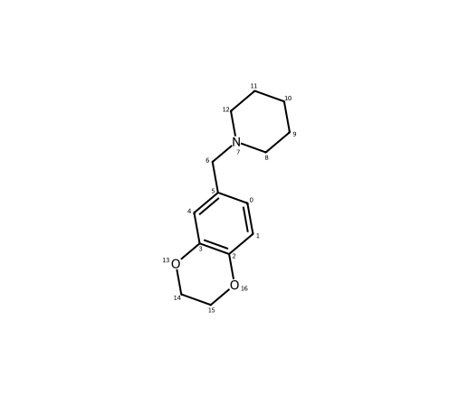 c1cc2c(cc1CN1CCCCC1)OCCO2